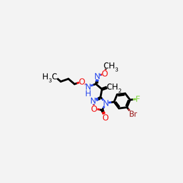 C=C(/C(=N\OC)NOCCCC)c1noc(=O)n1-c1ccc(F)c(Br)c1